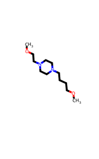 COCCCCN1CCN(CCOC)CC1